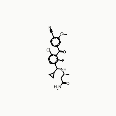 COc1cc(C(=O)c2c(Cl)ccc(C(N[C@@H](C)CC(N)=O)C3CC3)c2F)ccc1C#N